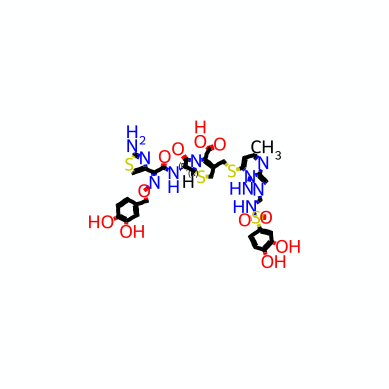 CC1=NC2=CN(CNS(=O)(=O)c3ccc(O)c(O)c3)NN2C(SCC2=C(C(=O)O)N3C(=O)[C@@H](NC(=O)C(=NOCc4ccc(O)c(O)c4)c4csc(N)n4)[C@H]3SC2)=C1